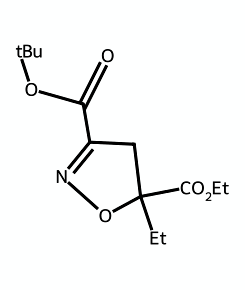 CCOC(=O)C1(CC)CC(C(=O)OC(C)(C)C)=NO1